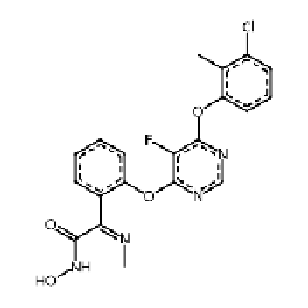 CN=C(C(=O)NO)c1ccccc1Oc1ncnc(Oc2cccc(Cl)c2C)c1F